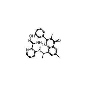 Cc1cc(C(C)Nc2cccnc2C(N)=NO)c2oc(-c3ccccc3)c(C)c(=O)c2c1